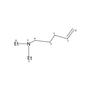 C=CCCCN(CC)CC